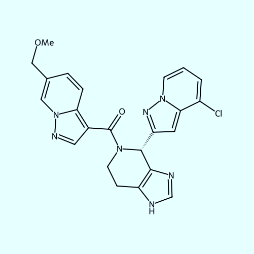 COCc1ccc2c(C(=O)N3CCc4[nH]cnc4[C@H]3c3cc4c(Cl)cccn4n3)cnn2c1